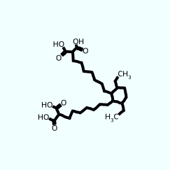 CCC1CCC(CC)C(CCCCCCCC(C(=O)O)C(=O)O)C1CCCCCCCC(C(=O)O)C(=O)O